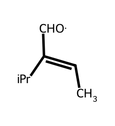 CC=C([C]=O)C(C)C